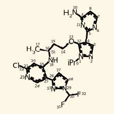 CC(C)n1ncc(-c2nccc(N)n2)c1OCC[C@H](C)Nc1cc(Cl)ncc1-c1ccn(C(F)F)n1